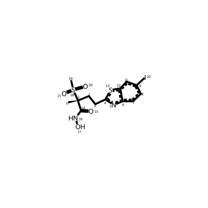 C[C@@](CCc1nc2ccc(I)cc2s1)(C(=O)NO)S(C)(=O)=O